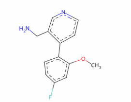 COc1cc(F)ccc1-c1ccncc1CN